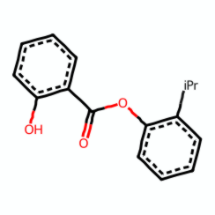 CC(C)c1ccccc1OC(=O)c1ccccc1O